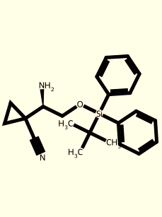 CC(C)(C)[Si](OC[C@H](N)C1(C#N)CC1)(c1ccccc1)c1ccccc1